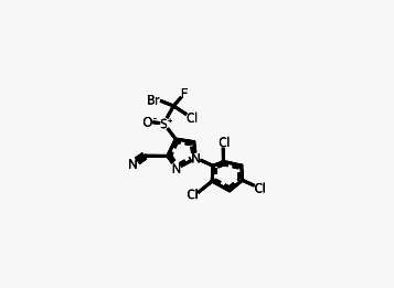 N#Cc1nn(-c2c(Cl)cc(Cl)cc2Cl)cc1[S+]([O-])C(F)(Cl)Br